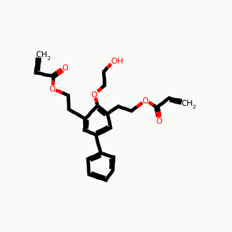 C=CC(=O)OCCc1cc(-c2ccccc2)cc(CCOC(=O)C=C)c1OCCO